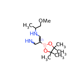 COCC(C)N/C=C(\C=N)B1OC(C)(C)C(C)(C)O1